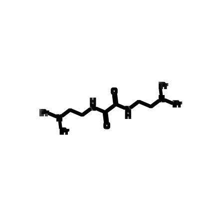 CC(C)N(CCNC(=O)C(=O)NCCN(C(C)C)C(C)C)C(C)C